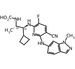 C[C@H](NC(=O)O)[C@@H](Nc1nc(Nc2ccc3cnn(C)c3c2)c(C#N)cc1F)C1CCC1